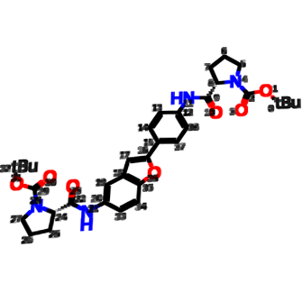 CC(C)(C)OC(=O)N1CCC[C@H]1C(=O)Nc1ccc(-c2cc3cc(NC(=O)[C@@H]4CCCN4C(=O)OC(C)(C)C)ccc3o2)cc1